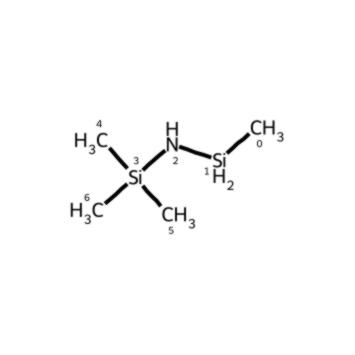 C[SiH2]N[Si](C)(C)C